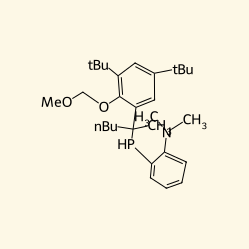 CCCCC(C)(Pc1ccccc1N(C)C)c1cc(C(C)(C)C)cc(C(C)(C)C)c1OCOC